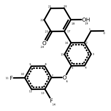 CCc1ccc(Oc2ccc(F)cc2F)cc1C1=C(O)CCCC1=O